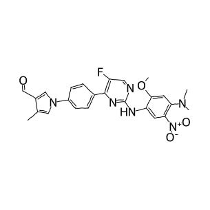 COc1cc(N(C)C)c([N+](=O)[O-])cc1Nc1ncc(F)c(-c2ccc(-n3cc(C)c(C=O)c3)cc2)n1